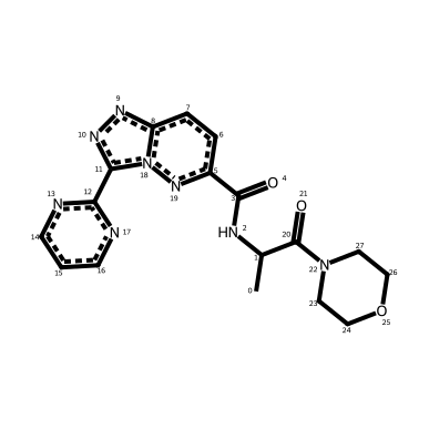 CC(NC(=O)c1ccc2nnc(-c3ncccn3)n2n1)C(=O)N1CCOCC1